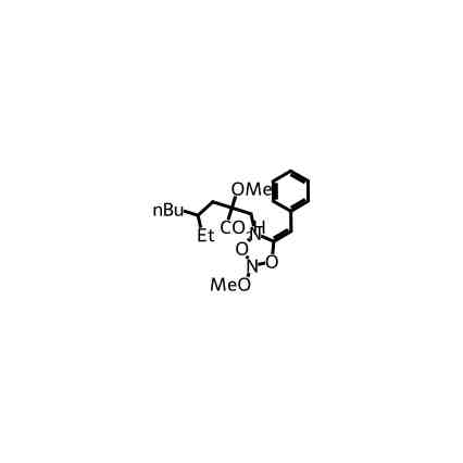 CCCCC(CC)CC(CN1ON(OC)OC1=Cc1ccccc1)(OC)C(=O)O